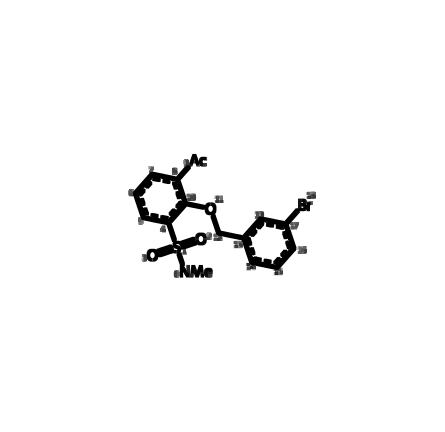 CNS(=O)(=O)c1cccc(C(C)=O)c1OCc1cccc(Br)c1